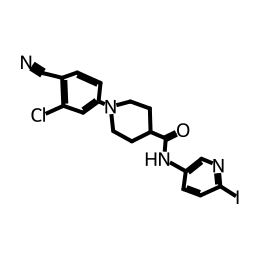 N#Cc1ccc(N2CCC(C(=O)Nc3ccc(I)nc3)CC2)cc1Cl